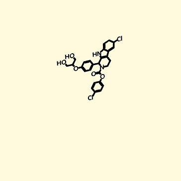 O=C(Oc1ccc(Cl)cc1)N1CCc2c([nH]c3c2=CC(Cl)CC=3)C1c1ccc(OC(CO)CO)cc1